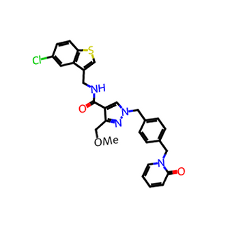 COCc1nn(Cc2ccc(Cn3ccccc3=O)cc2)cc1C(=O)NCc1csc2ccc(Cl)cc12